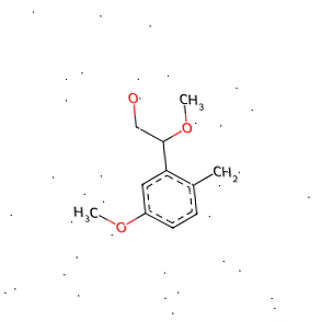 [CH2]c1ccc(OC)cc1C(C[O])OC